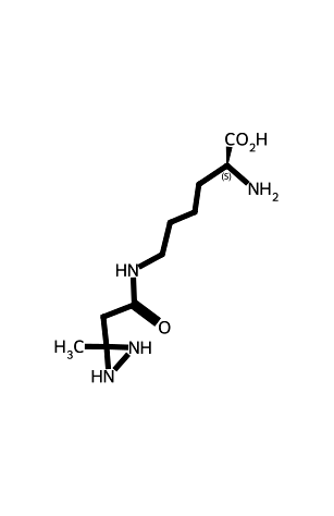 CC1(CC(=O)NCCCC[C@H](N)C(=O)O)NN1